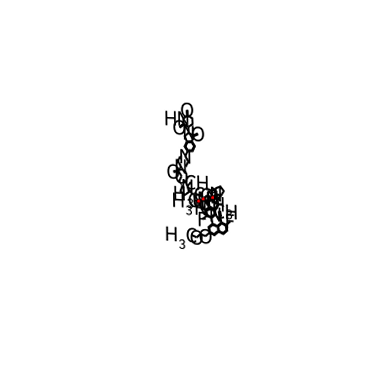 C#Cc1c(F)ccc2cc(OCOC)cc(-c3ncc4c(N5CC6CCC(C5)N6C(=O)OC(C)(C)C)nc(OC[C@@H]5CC[C@@H](COC(=O)N6CCN(c7ccc8c(c7)CN(C7CCC(=O)NC7=O)C8=O)CC6)N5C)nc4c3F)c12